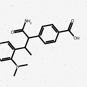 CC(c1ccccc1N(C)C)C(C(N)=O)c1ccc(C(=O)O)cc1